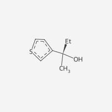 CC[C@](C)(O)c1ccsc1